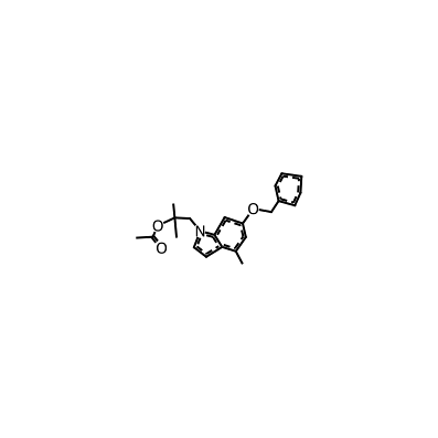 CC(=O)OC(C)(C)Cn1ccc2c(C)cc(OCc3ccccc3)cc21